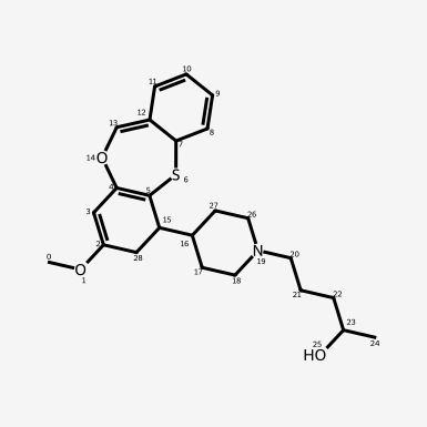 COC1=CC2=C(SC3C=CC=CC3=CO2)C(C2CCN(CCCC(C)O)CC2)C1